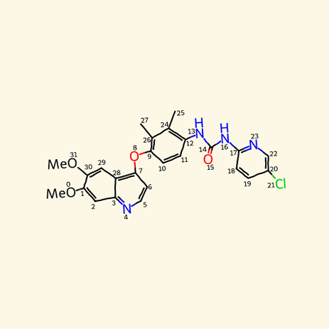 COc1cc2nccc(Oc3ccc(NC(=O)Nc4ccc(Cl)cn4)c(C)c3C)c2cc1OC